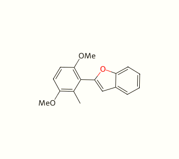 COc1ccc(OC)c(-c2cc3ccccc3o2)c1C